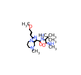 CNC(=O)[C@@H](NC(=O)c1nc(C=CCOC)n2c1CN(C)CCC2)C(C)(C)C